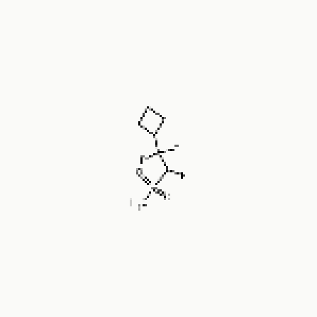 CS(=O)(=O)C(F)C(F)(F)C1CCC1